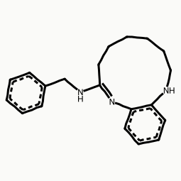 c1ccc(CN/C2=N/c3ccccc3NCCCCCC2)cc1